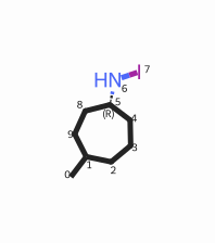 CC1CCC[C@@H](NI)CC1